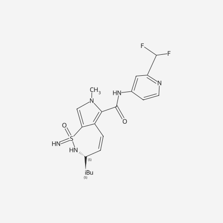 CC[C@H](C)[C@H]1C=Cc2c(cn(C)c2C(=O)Nc2ccnc(C(F)F)c2)S(=N)(=O)N1